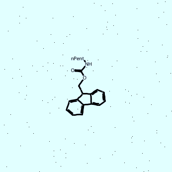 [CH2]CCCCNC(=O)OCC1c2ccccc2-c2ccccc21